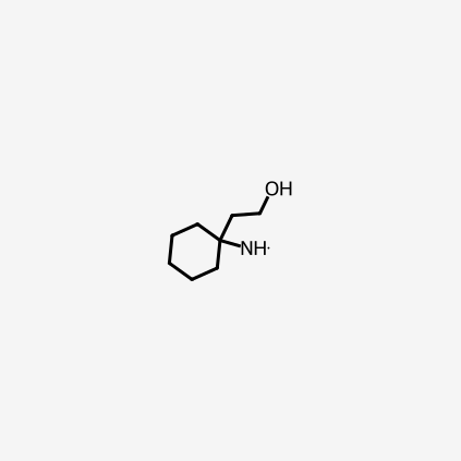 [NH]C1(CCO)CCCCC1